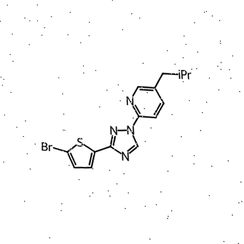 CC(C)Cc1ccc(-n2cnc(-c3ccc(Br)s3)n2)nc1